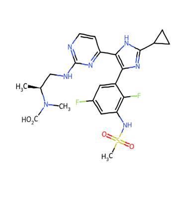 C[C@@H](CNc1nccc(-c2[nH]c(C3CC3)nc2-c2cc(F)cc(NS(C)(=O)=O)c2F)n1)N(C)C(=O)O